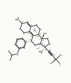 CC(C)Oc1cccc([C@H]2C[C@@]3(C)[C@@H](CC[C@@]3(O)C#CC(F)(F)F)[C@@H]3CCC4=CC(O)CCC4=C32)c1